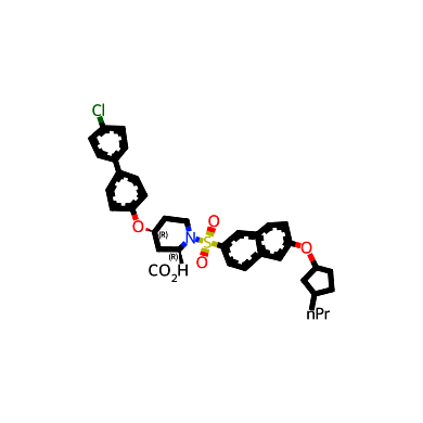 CCCC1CCC(Oc2ccc3cc(S(=O)(=O)N4CC[C@@H](Oc5ccc(-c6ccc(Cl)cc6)cc5)C[C@@H]4C(=O)O)ccc3c2)C1